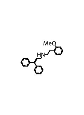 COc1ccccc1CCNCC=C(c1ccccc1)c1ccccc1